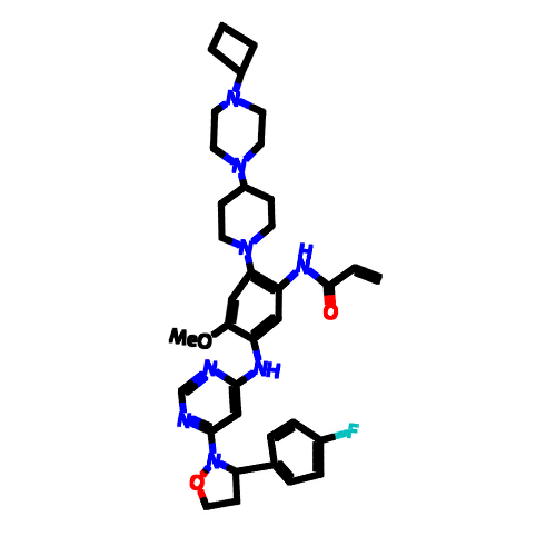 C=CC(=O)Nc1cc(Nc2cc(N3OCCC3c3ccc(F)cc3)ncn2)c(OC)cc1N1CCC(N2CCN(C3CCC3)CC2)CC1